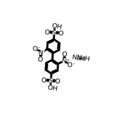 O=[N+]([O-])c1cc(S(=O)(=O)O)ccc1-c1ccc(S(=O)(=O)O)cc1[N+](=O)[O-].[NaH].[NaH]